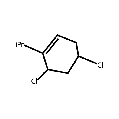 CC(C)C1=CCC(Cl)CC1Cl